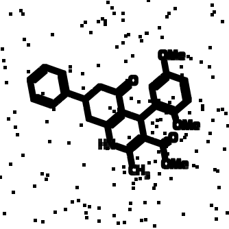 COC(=O)C1=C(C)NC2=C(C(=O)CC(c3ccccc3)C2)C1c1cc(OC)ccc1OC